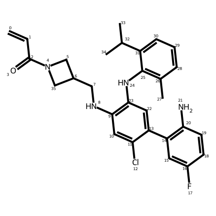 C=CC(=O)N1CC(CNc2cc(Cl)c(-c3cc(F)ccc3N)cc2Nc2c(C)cccc2C(C)C)C1